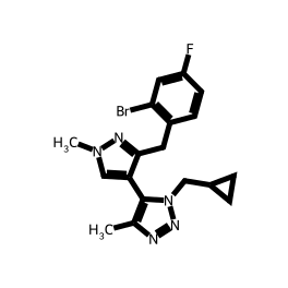 Cc1nnn(CC2CC2)c1-c1cn(C)nc1Cc1ccc(F)cc1Br